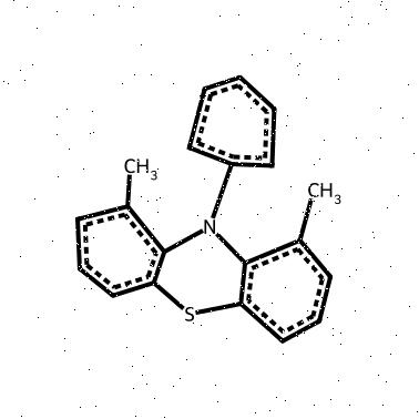 Cc1cccc2c1N(c1ccccc1)c1c(C)cccc1S2